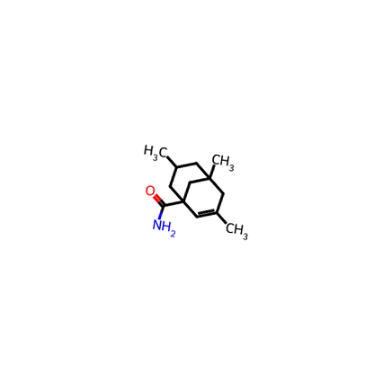 CC1=CC2(C(N)=O)CC(C)CC(C)(C1)C2